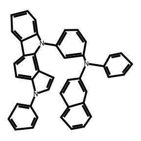 c1ccc(N(c2cccc(-n3c4ccccc4c4ccc5c(ccn5-c5ccccc5)c43)c2)c2ccc3ccccc3c2)cc1